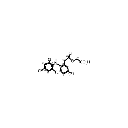 CCc1ccc(Nc2c(F)cc(Cl)cc2Cl)c(CC(=O)OCC(=O)O)c1